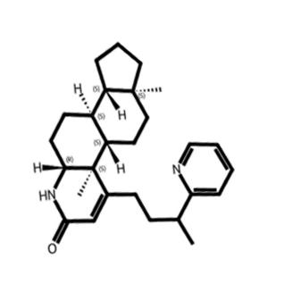 CC(CCC1=CC(=O)N[C@@H]2CC[C@H]3[C@@H]4CCC[C@@]4(C)CC[C@@H]3[C@@]12C)c1ccccn1